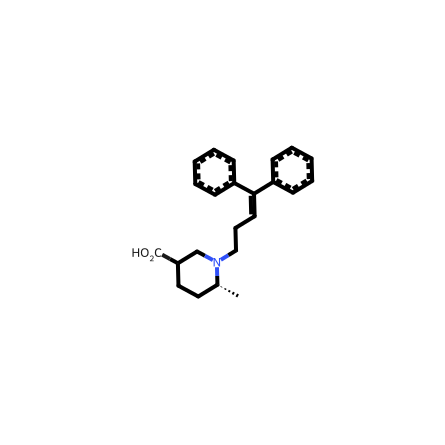 C[C@@H]1CCC(C(=O)O)CN1CCC=C(c1ccccc1)c1ccccc1